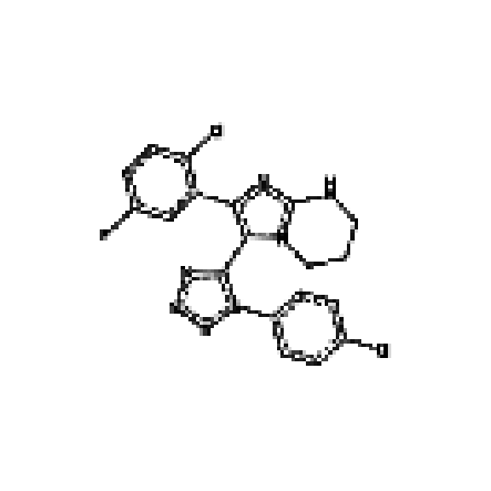 Fc1ccc(Cl)c(-c2nc3n(c2-c2nnnn2-c2ccc(Cl)cc2)CCCN3)c1